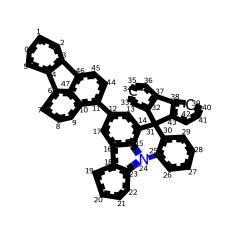 c1ccc2c(c1)-c1cccc3c(-c4cc5c6c(c4)c4ccccc4n6-c4ccccc4C54c5ccccc5-c5ccccc54)ccc-2c13